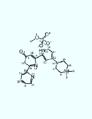 COS(=O)(=O)[O-].C[N+]1(C)CCN(C2=CCNC(C3=CC(=O)CC(c4ccccn4)=N3)=C2)CC1